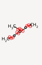 C=CC(=O)OCOc1ccc(CCC(=O)Oc2ccc(OC(=O)CCc3ccc(OCOC(=O)C=C)cc3)c(C(=O)OCCCCC)c2)cc1